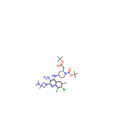 CN(C)C1(C)CN(c2nc3c(F)c(Br)c(I)cc3c(N[C@@H]3CCN(C(=O)OC(C)(C)C)[C@H](CC(=O)OC(C)(C)C)C3)c2N)C1